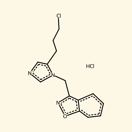 Cl.ClCCCc1cncn1Cc1noc2ccccc12